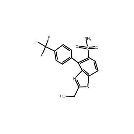 NS(=O)(=O)c1ccc2sc(CO)nc2c1-c1ccc(C(F)(F)F)cc1